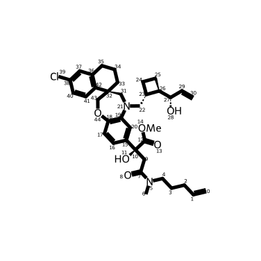 C=CCCCN(C)C(=O)C[C@@](O)(C(=O)OC)c1ccc2c(c1)N(C[C@@H]1CC[C@H]1[C@@H](O)C=C)C[C@@]1(CCCc3cc(Cl)ccc31)CO2